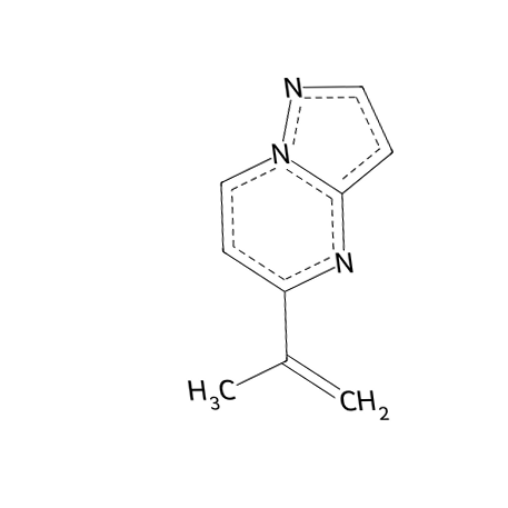 C=C(C)c1ccn2nccc2n1